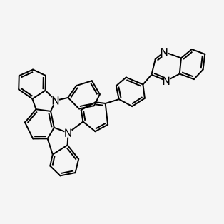 c1ccc(-n2c3ccccc3c3ccc4c5ccccc5n(-c5ccc(-c6ccc(-c7cnc8ccccc8n7)cc6)cc5)c4c32)cc1